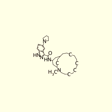 CN1CCCCCCCCCCCCC2CCC1CC(NC(=O)c1n[nH]c3ccc(N4CCCC4)cc13)C2